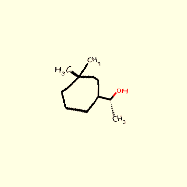 C[C@@H](O)C1CCCC(C)(C)C1